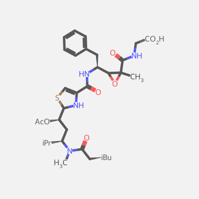 CC[C@H](C)CC(=O)N(C)[C@H](C[C@@H](OC(C)=O)C1NC(C(=O)N[C@@H](Cc2ccccc2)C2OC2(C)C(=O)NCC(=O)O)=CS1)C(C)C